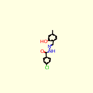 Cc1ccc(/C=N/NC(=O)c2ccc(Cl)cc2)c(O)c1